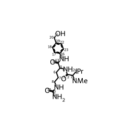 CNC(C(=O)NC(CCCNC(N)=O)C(=O)Nc1ccc(CO)cc1)C(C)C